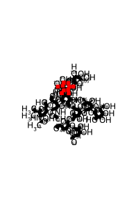 CC(=O)NC1[C@H](O[C@@H]2C(CO)O[C@@H](C(C)C)[C@@H](NC(C)=O)C2O)OC(CO)[C@@H](O[C@@H]2OC(COC3OC(CO[C@H]4OC(C=O)C[C@@H](O)[C@H]4O[C@H]4OC(C=O)C[C@H](O)C4O)[C@@H](O)[C@H](O[C@H]4O[C@@H](CO)[C@@H](O)C(O)C4O[C@H]4O[C@@H](CO)C(O)C(O)C4O)[C@H]3O)[C@@H](O)C(O[C@H]3OC(CO)[C@@H](O)C(O)C3O[C@H]3O[C@@H](CO)C(O)C(O)C3O[C@H]3OC(CO)[C@@H](O)C(O)C3O)[C@H]2O)[C@@H]1O